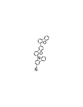 N#Cc1ccc2c(c1)c1ccccc1n2-c1cccc2c1oc1ccc(-c3cccc4c3oc3ccccc34)cc12